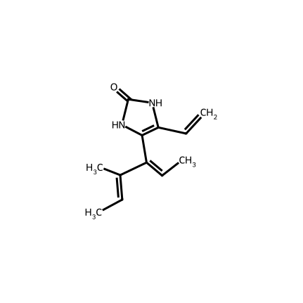 C=Cc1[nH]c(=O)[nH]c1C(=C\C)/C(C)=C/C